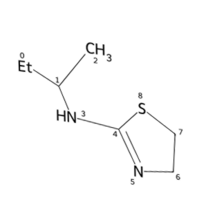 CCC(C)NC1=NCCS1